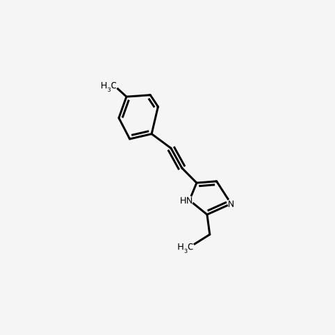 CCc1ncc(C#Cc2ccc(C)cc2)[nH]1